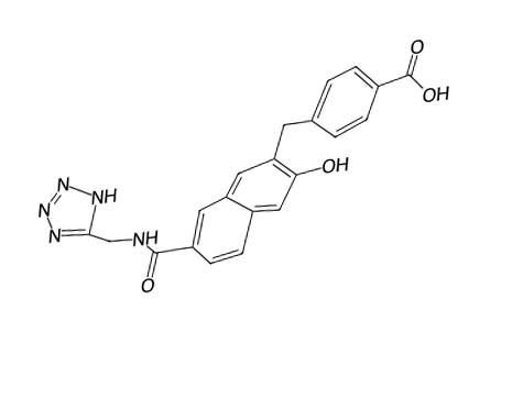 O=C(O)c1ccc(Cc2cc3cc(C(=O)NCc4nnn[nH]4)ccc3cc2O)cc1